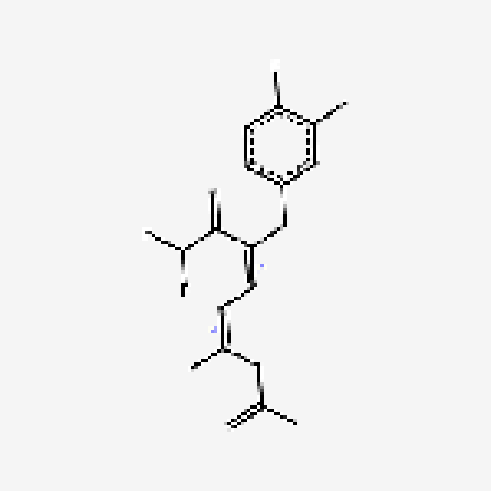 C=C(C)C/C(C)=C\C=C(\Cc1ccc(F)c(C)c1)C(=C)C(F)F